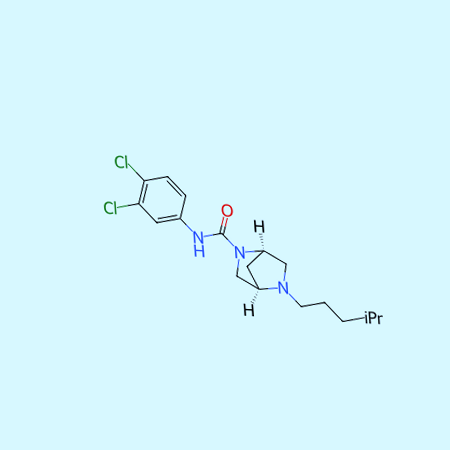 CC(C)CCCN1C[C@H]2C[C@@H]1CN2C(=O)Nc1ccc(Cl)c(Cl)c1